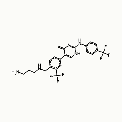 C=C1N=C(Nc2ccc(C(F)(F)F)cc2)NC=C1c1ccc(CNCCCN)c(C(F)(F)F)c1